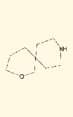 [CH]1OCCCC12CCNCC2